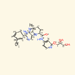 O=C(Nc1ccnc(OC[C@@H](O)CO)c1)C1CC[C@H]2CN1C1=CN=C(c3cccc(C(F)(F)F)c3)NC1=N2